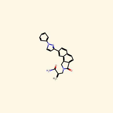 C=C(CN1Cc2c(ccc3ccc(-c4ccn(-c5ccccc5)n4)cc23)C1=O)C(N)=O